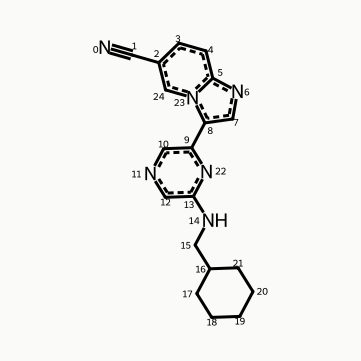 N#Cc1ccc2ncc(-c3cncc(NCC4CCCCC4)n3)n2c1